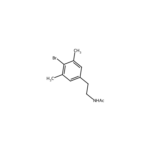 CC(=O)NCCc1cc(C)c(Br)c(C)c1